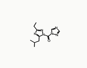 CCc1nc(CC(C)C)n(C(=O)n2cncn2)n1